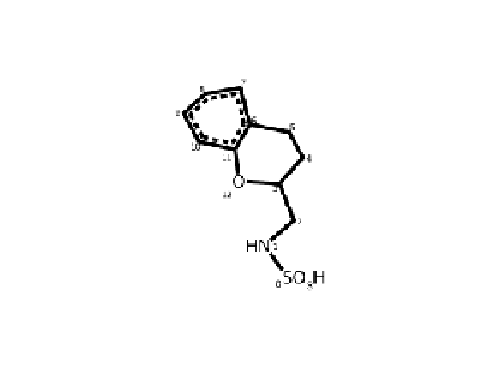 O=S(=O)(O)NCC1CCc2ccccc2O1